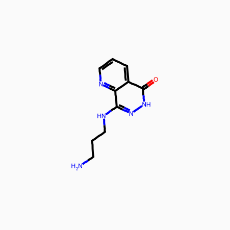 NCCCNc1n[nH]c(=O)c2cccnc12